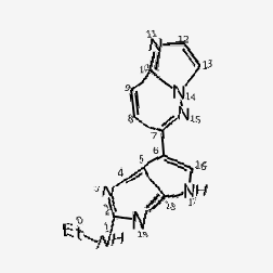 CCNc1ncc2c(-c3ccc4nccn4n3)c[nH]c2n1